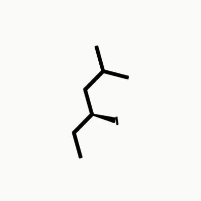 CC[C@H](I)CC(C)C